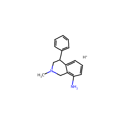 CN1Cc2c(N)cccc2C(c2ccccc2)C1.[H+]